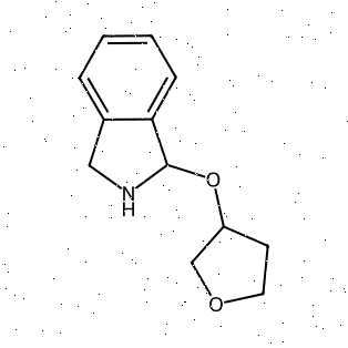 c1ccc2c(c1)CNC2OC1CCOC1